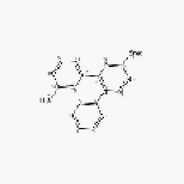 CSc1nnc(-c2ccccc2)c(-c2cccc(C)c2)n1